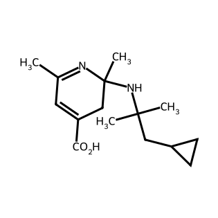 CC1=NC(C)(NC(C)(C)CC2CC2)CC(C(=O)O)=C1